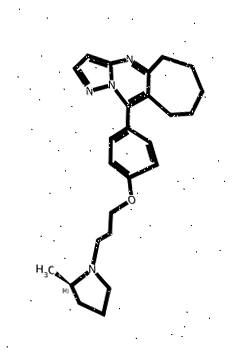 C[C@@H]1CCCN1CCCOc1ccc(-c2c3c(nc4ccnn24)CCCCC3)cc1